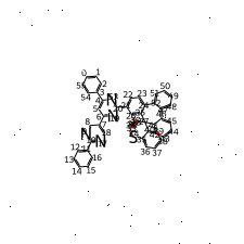 c1ccc(-c2cc(-c3cnc(-c4ccccc4)nc3)nc(-c3ccc4c(c3)C3(c5ccccc5Sc5ccccc53)c3ccccc3-c3ccccc3-4)n2)cc1